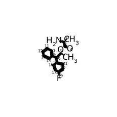 C[C@H](N)C(=O)O[C@@H](C)C(c1ccccc1)c1ccc(F)cc1